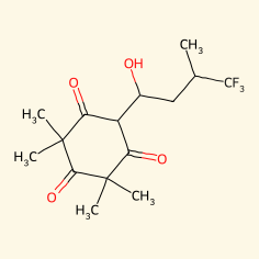 CC(CC(O)C1C(=O)C(C)(C)C(=O)C(C)(C)C1=O)C(F)(F)F